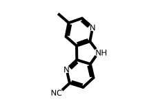 Cc1cnc2[nH]c3ccc(C#N)nc3c2c1